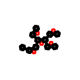 c1ccc(-c2ccc3oc4ccc(-c5cc(-c6cccc7c6oc6ccccc67)cc6c5oc5c(-c7cccc8c7oc7ccccc78)cc(-c7ccc8oc9ccccc9c8c7)cc56)cc4c3c2)cc1